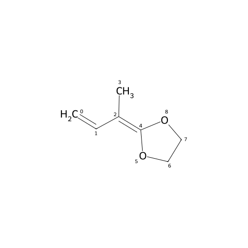 C=CC(C)=C1OCCO1